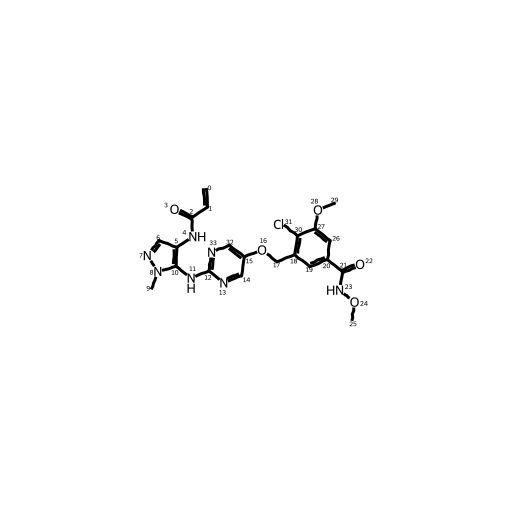 C=CC(=O)Nc1cnn(C)c1Nc1ncc(OCc2cc(C(=O)NOC)cc(OC)c2Cl)cn1